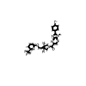 Cn1c(-c2ccc(F)cc2)nc2nc(C(=O)N3C[C@@H]4C(COc5cccc(C(F)(F)F)n5)[C@@H]4C3)cnc21